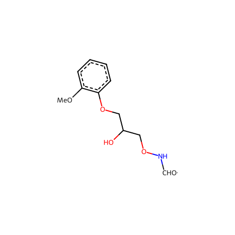 COc1ccccc1OCC(O)CON[C]=O